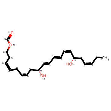 CC/C=C\C[C@H](O)\C=C/C=C/C=C/[C@H](O)C/C=C\C/C=C\CCOC=O